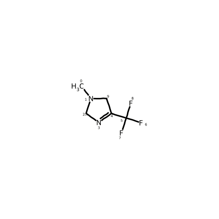 CN1[C]N=C(C(F)(F)F)C1